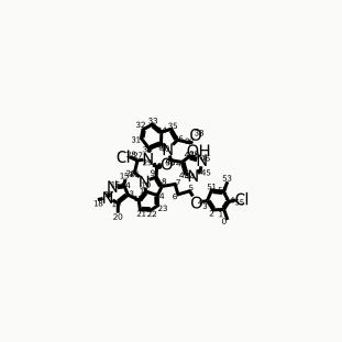 Cc1cc(OCCCc2c3n(c4c(-c5c(C)nn(C)c5C)cccc24)[C@H](C)C(Cl)N(c2cccc4cc(C(=O)O)n(Cc5cncnc5)c24)C3=O)cc(C)c1Cl